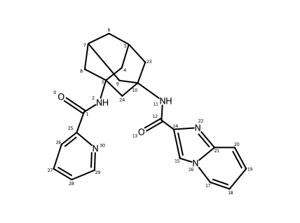 O=C(NC12CC3CC(C1)CC(NC(=O)c1cn4ccccc4n1)(C3)C2)c1ccccn1